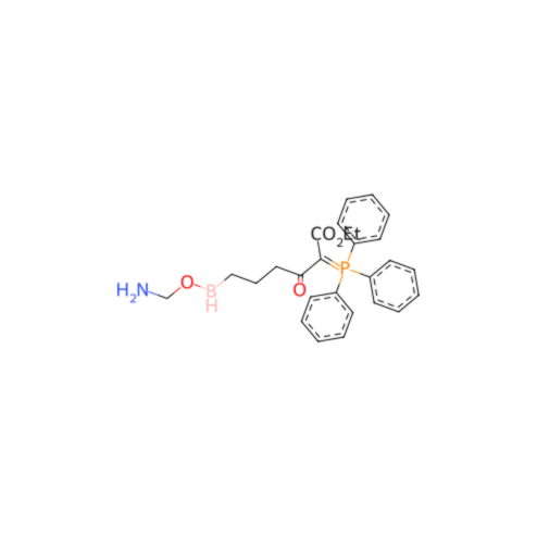 CCOC(=O)C(C(=O)CCCBOCN)=P(c1ccccc1)(c1ccccc1)c1ccccc1